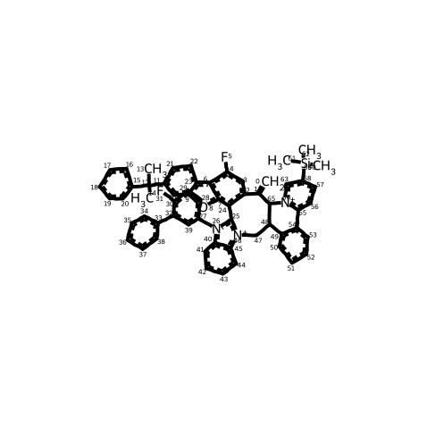 C=C1c2cc(F)c3c(oc4cc(C(C)(C)c5ccccc5)ccc43)c2-c2n(-c3ccc(F)c(-c4ccccc4)c3)c3ccccc3[n+]2CC2c3ccccc3-c3ccc([Si](C)(C)C)c[n+]3C12